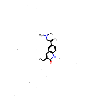 C=C(CN(C)C)c1ccc2[nH]c(=O)c(CC)cc2c1